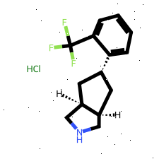 Cl.FC(F)(F)c1ccccc1[C@@H]1C[C@H]2CNC[C@H]2C1